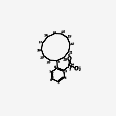 O=[N+]([O-])c1ccc[c]c1C1CCCCCCCCCCC1